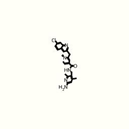 C=N/C(=C\C(=C/C)C(=O)NCc1c(C)cc(N)nc1C)Cc1cnc2cc(Cl)ccc2c1